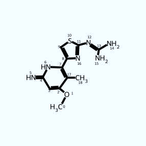 COc1cc(=N)[nH]c(-c2csc(N=C(N)N)n2)c1C